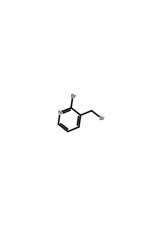 BrCc1cccnc1Br